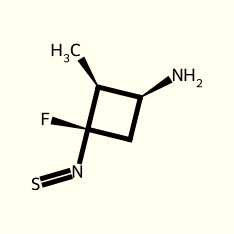 C[C@H]1[C@@H](N)C[C@]1(F)N=S